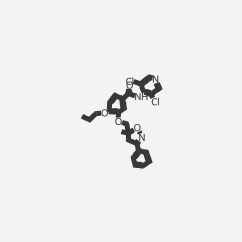 CCCOc1ccc(C(=O)Nc2c(Cl)cncc2Cl)cc1OCC1(C)CC(c2ccccc2)=NO1